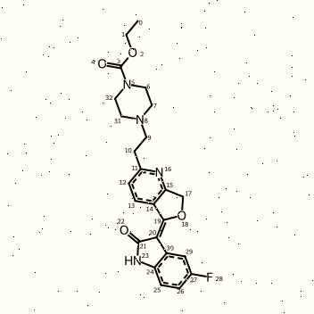 CCOC(=O)N1CCN(CCc2ccc3c(n2)CO/C3=C2/C(=O)Nc3ccc(F)cc32)CC1